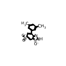 Cc1cc(C)cc(-c2cc([N+](=O)[O-])cc3c2n[nH][n+]3[O-])c1